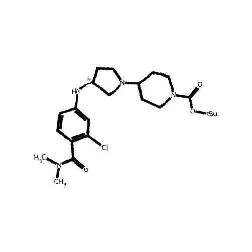 CN(C)C(=O)c1ccc(N[C@H]2CCN(C3CCN(C(=O)OC(C)(C)C)CC3)C2)cc1Cl